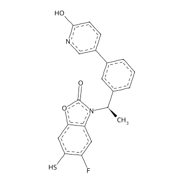 C[C@H](c1cccc(-c2ccc(O)nc2)c1)n1c(=O)oc2cc(S)c(F)cc21